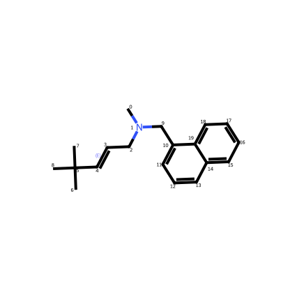 CN(C/C=C/C(C)(C)C)Cc1cccc2ccccc12